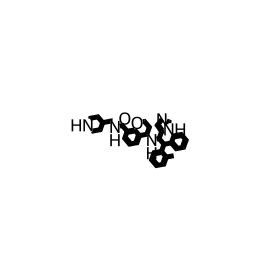 Cc1ccccc1C(c1ccccc1)C(NC1CCOc2c(C(=O)NCC3CCNCC3)cccc21)c1cnc[nH]1